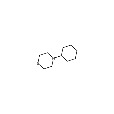 C1CCC(N2CCSCC2)CC1